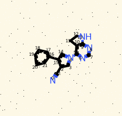 N#Cc1cn(-c2ncnc3c2CCN3)cc1-c1ccccc1